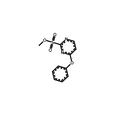 COS(=O)(=O)c1nccc(Oc2ccccc2)n1